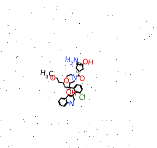 COCCCC[C@](O)(c1cccc(Cl)c1-c1cnc2ccccc2c1)C1CN(C(=O)[C@H]2C[C@@H](N)[C@@H](O)C2)CCO1